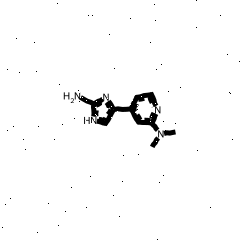 CN(C)c1cc(-c2c[nH]c(N)n2)ccn1